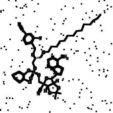 CCCCCCCCCCCCCCOC[C@H](COP(=O)(OC[C@@]1(C#N)O[C@@H](c2ccc3c(N)ncnn23)[C@@H]2OC(C)(C)O[C@@H]21)Oc1ccccc1Cl)OCc1ccc(C#N)cc1F